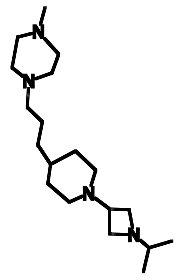 CC(C)N1CC(N2CCC(CCCN3CCN(C)CC3)CC2)C1